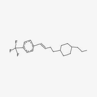 CCCC1CCC(CCC=Cc2ccc(C(F)(F)F)cc2)CC1